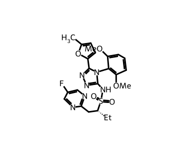 CC[C@H](Cc1ncc(F)cn1)S(=O)(=O)Nc1nnc(-c2ccc(C)o2)n1-c1c(OC)cccc1OC